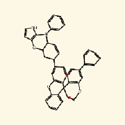 C1=CC2C(CC1c1ccc3c(c1)Oc1ccccc1C31c3ccccc3Oc3cc(-c4ccccc4)ccc31)Oc1cc[nH]c1N2c1ccccc1